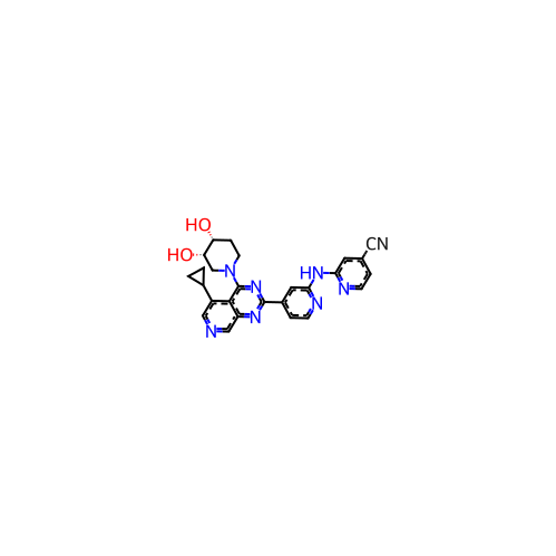 N#Cc1ccnc(Nc2cc(-c3nc(N4CC[C@@H](O)[C@@H](O)C4)c4c(C5CC5)cncc4n3)ccn2)c1